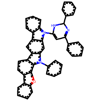 C1=C(n2c3ccccc3c3cc4c5ccc6c7ccccc7oc6c5n(-c5ccccc5)c4cc32)NC(c2ccccc2)N=C1c1ccccc1